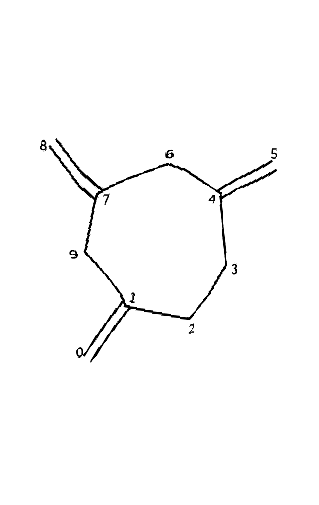 C=C1CCC(=C)CC(=C)C1